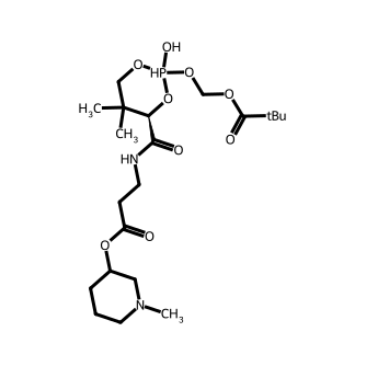 CN1CCCC(OC(=O)CCNC(=O)[C@@H]2O[PH](O)(OCOC(=O)C(C)(C)C)OCC2(C)C)C1